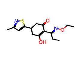 CCON=C(CC)C1=C(O)CC(c2cc(C)ns2)CC1=O